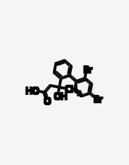 CC(O)(CC(=O)O)c1ccccc1-c1ccc(Br)cc1Br